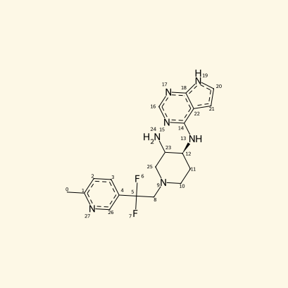 Cc1ccc(C(F)(F)CN2CC[C@H](Nc3ncnc4[nH]ccc34)C(N)C2)cn1